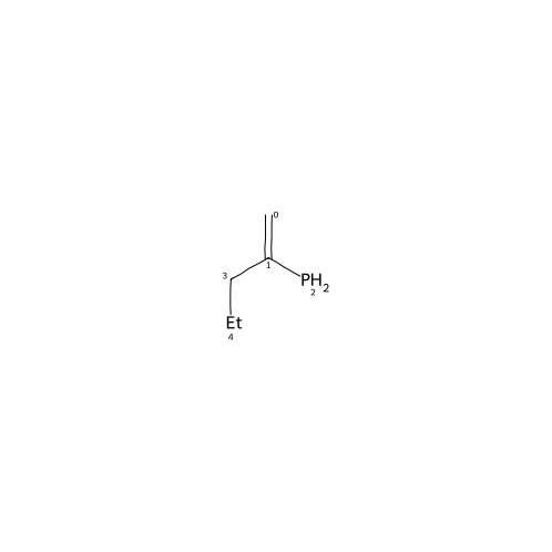 C=C(P)CCC